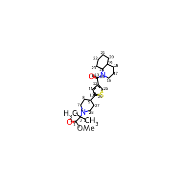 COC(=O)C(C)(C)N1CCC(c2cc(C(=O)N3CCCC4CCCCC43)cs2)CC1